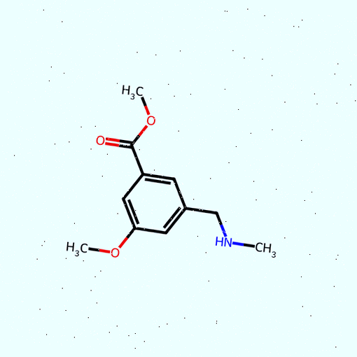 CNCc1cc(OC)cc(C(=O)OC)c1